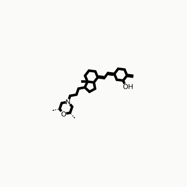 C=C1CC/C(=C/C=C2\CCCC3(C)C(CCCN4C[C@@H](C)O[C@@H](C)C4)CCC23)CC1O